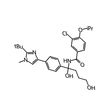 CC(C)Oc1ccc(C(=O)NC(O)(CCCO)c2ccc(-c3cn(C)c(C(C)(C)C)n3)cc2)cc1Cl